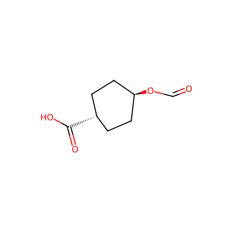 O=CO[C@H]1CC[C@H](C(=O)O)CC1